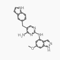 COc1cc(Nc2ncc(Cc3ccc4[nH]ccc4c3)c(N)n2)c2cn[nH]c2c1